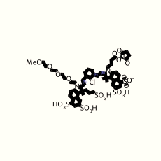 COCCOCCOCCOCC[N+]1=C(/C=C/C2=C(Cl)C(=C/C=C3/N(CCCC(=O)ON4C(=O)CCC4=O)c4ccc5c(S(=O)(=O)[O-])cc(S(=O)(=O)O)cc5c4C3(C)C)/CCC2)C(C)(CCCS(=O)(=O)O)c2c1ccc1c(S(=O)(=O)O)cc(S(=O)(=O)O)cc21